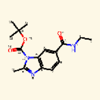 CCNC(=O)c1ccc2nc(C)n(C(=O)OC(C)(C)C)c2c1